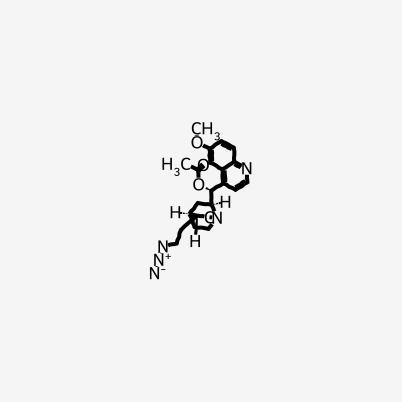 COc1ccc2nccc([C@@H](OC(C)=O)[C@@H]3C[C@@H]4CCN3C[C@@H]4CCN=[N+]=[N-])c2c1